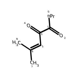 CCCC(=O)C(=O)C=C(C)C